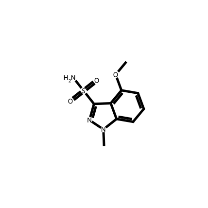 COc1cccc2c1c(S(N)(=O)=O)nn2C